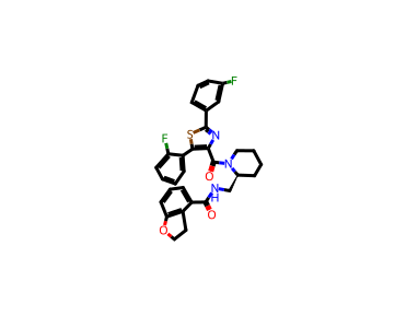 O=C(NC[C@@H]1CCCCN1C(=O)c1nc(-c2cccc(F)c2)sc1-c1ccccc1F)c1cccc2c1CCO2